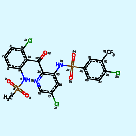 CS(=O)(=O)Nc1cccc(Cl)c1C(=O)c1ncc(Cl)cc1NS(=O)(=O)c1ccc(Cl)c(C(F)(F)F)c1